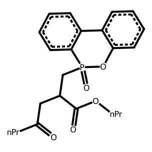 CCCOC(=O)C(CC(=O)CCC)CP1(=O)Oc2ccccc2-c2ccccc21